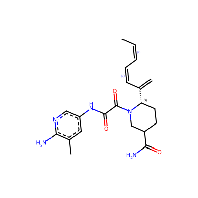 C=C(/C=C\C=C/C)[C@@H]1CCC(C(N)=O)CN1C(=O)C(=O)Nc1cnc(N)c(C)c1